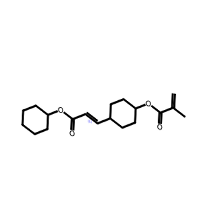 C=C(C)C(=O)OC1CCC(/C=C/C(=O)OC2CCCCC2)CC1